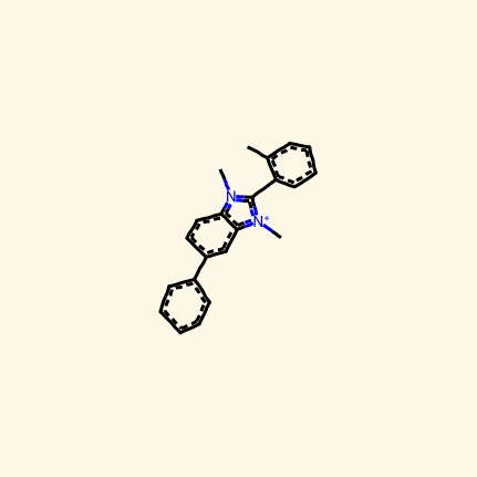 Cc1ccccc1-c1n(C)c2ccc(-c3ccccc3)cc2[n+]1C